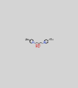 CC(C)(C)c1cc[n+](CCCCC[n+]2ccc(C(C)(C)C)cc2)cc1.[OH-].[OH-]